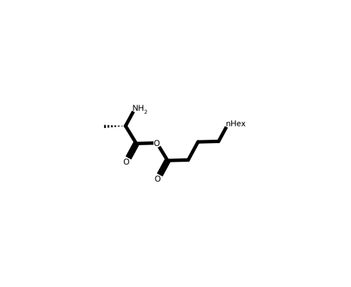 CCCCCCCCCC(=O)OC(=O)[C@H](C)N